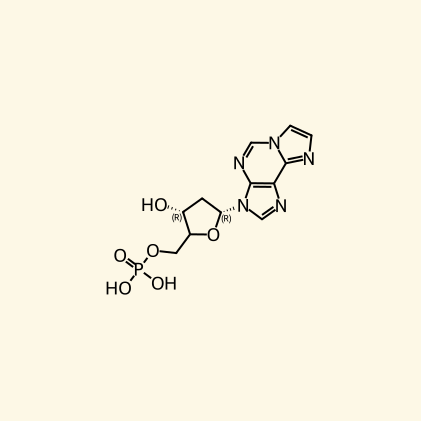 O=P(O)(O)OCC1O[C@@H](n2cnc3c2ncn2ccnc32)C[C@H]1O